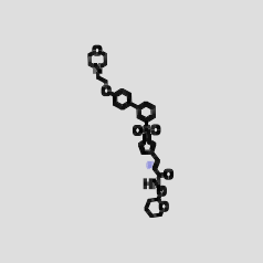 O=C(/C=C/c1ccn(S(=O)(=O)c2cccc(-c3ccc(OCCN4CCOCC4)cc3)c2)c1)NOC1CCCCO1